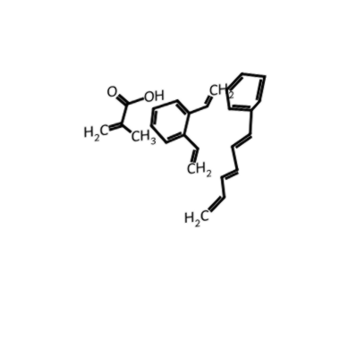 C=C(C)C(=O)O.C=CC=CC=Cc1ccccc1.C=Cc1ccccc1C=C